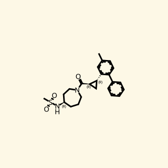 Cc1ccc(-c2ccccc2)c([C@@H]2C[C@H]2C(=O)N2CCC[C@@H](NS(C)(=O)=O)CC2)c1